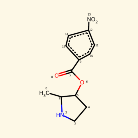 CC1NCCC1OC(=O)c1ccc([N+](=O)[O-])cc1